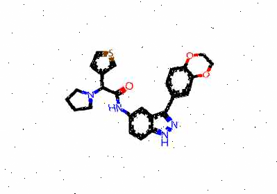 O=C(Nc1ccc2[nH]nc(-c3ccc4c(c3)OCCO4)c2c1)C(c1ccsc1)N1CCCC1